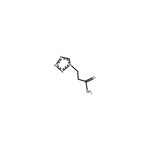 NC(=O)CCn1cnnn1